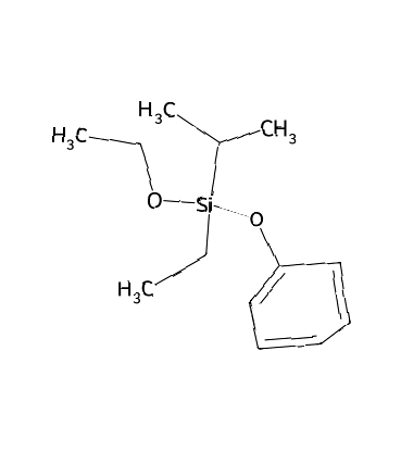 CCO[Si](CC)(Oc1ccccc1)C(C)C